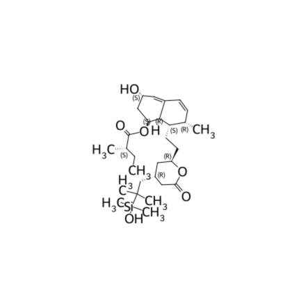 CC[C@H](C)C(=O)O[C@H]1C[C@H](O)C=C2C=C[C@H](C)[C@H](CC[C@@H]3C[C@@H](CC(C)(C)[Si](C)(C)O)CC(=O)O3)[C@H]21